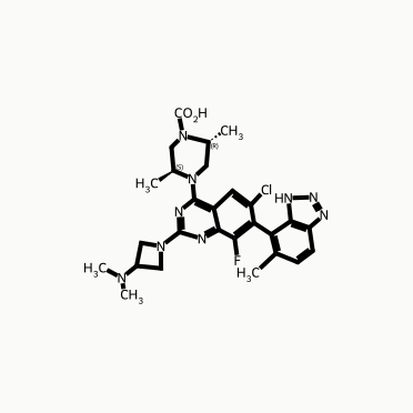 Cc1ccc2nn[nH]c2c1-c1c(Cl)cc2c(N3C[C@@H](C)N(C(=O)O)C[C@@H]3C)nc(N3CC(N(C)C)C3)nc2c1F